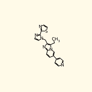 CCc1c(Cn2ccnc2-c2nccs2)nc2ccc(-c3ccncc3)cn12